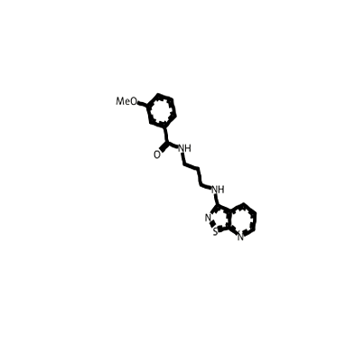 COc1cccc(C(=O)NCCCNc2nsc3ncccc23)c1